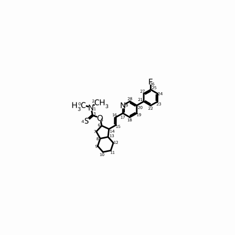 CN(C)C(=S)OC1CC2CCCCC2C1C=Cc1ccc(-c2cccc(F)c2)cn1